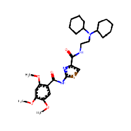 COc1cc(OC)c(C(=O)Nc2nc(C(=O)NCCN(C3CCCCC3)C3CCCCC3)cs2)cc1OC